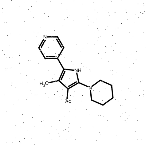 CC(=O)c1c(N2CCCCC2)[nH]c(-c2ccncc2)c1C